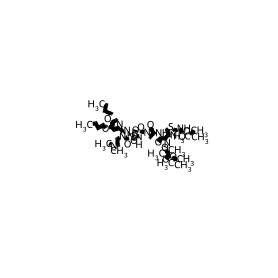 CCCCOc1cnc(-c2nn(S(=O)(=O)NC(=O)N3C[C@H](NC(=O)/C(=N\OC(C)(C)C(=O)OC(C)(C)C)c4csc(NC(=O)OC(C)(C)C)n4)C3=O)c(=O)n2CCN(C)C)cc1OCCCC